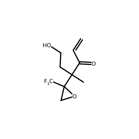 C=CC(=O)C(C)(CCO)C1(C(F)(F)F)CO1